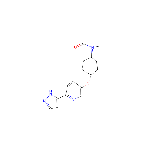 CC(=O)N(C)[C@H]1CC[C@H](Oc2ccc(-c3ccn[nH]3)nc2)CC1